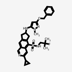 Cn1nc(OCc2ccccc2)cc1NC1Cc2cc3cnc(C4CC4)cc3c(S(=O)(=O)NCC(C)(C)F)c2C1